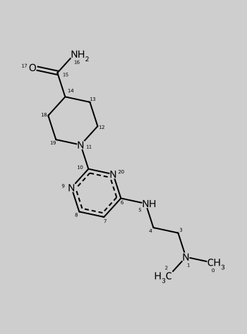 CN(C)CCNc1ccnc(N2CCC(C(N)=O)CC2)n1